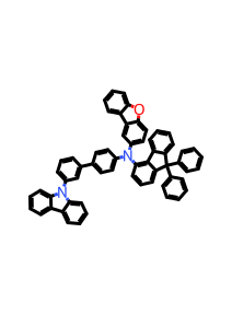 c1ccc(C2(c3ccccc3)c3ccccc3-c3c(N(c4ccc(-c5cccc(-n6c7ccccc7c7ccccc76)c5)cc4)c4ccc5oc6ccccc6c5c4)cccc32)cc1